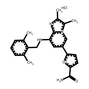 Cc1cccc(C)c1CNc1cc(-c2ccc(C(N)=O)o2)cn2c(C)c(C)nc12.Cl